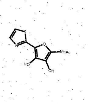 CC(=O)Nc1oc(-c2nccs2)c(O)c1O